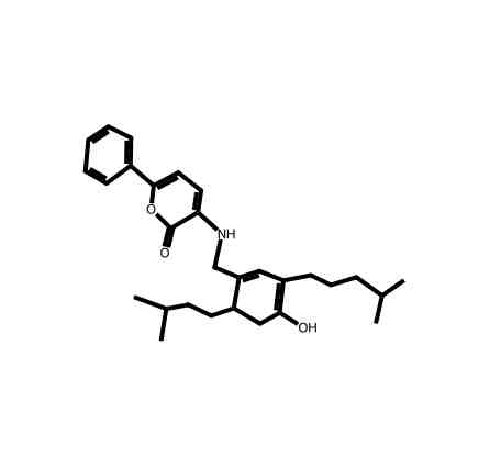 CC(C)CCCC1=C(O)CC(CCC(C)C)C(CNc2ccc(-c3ccccc3)oc2=O)=C1